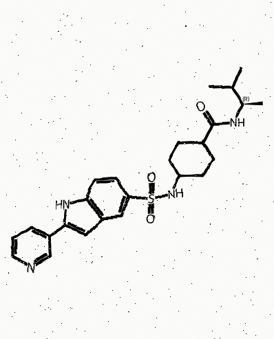 CC(C)[C@@H](C)NC(=O)C1CCC(NS(=O)(=O)c2ccc3[nH]c(-c4cccnc4)cc3c2)CC1